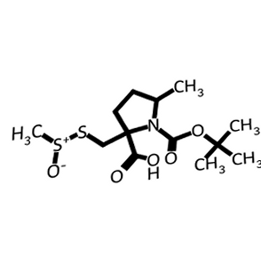 CC1CCC(CS[S+](C)[O-])(C(=O)O)N1C(=O)OC(C)(C)C